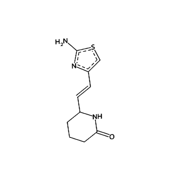 Nc1nc(C=CC2CCCC(=O)N2)cs1